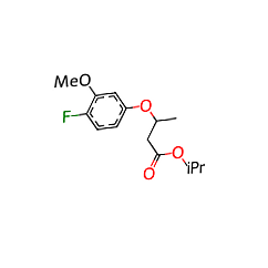 COc1cc(OC(C)CC(=O)OC(C)C)ccc1F